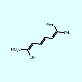 CCCCC\C(C)=C/C=C/C=C(\C#N)C(=O)O